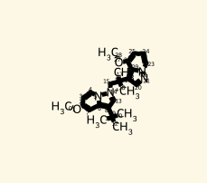 COc1ccn2c(c1)c(C(C)(C)C)c[n+]2CC(C)(C)c1cnn2cccc(OC)c12